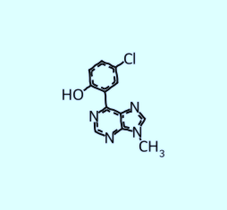 Cn1cnc2c(-c3cc(Cl)ccc3O)ncnc21